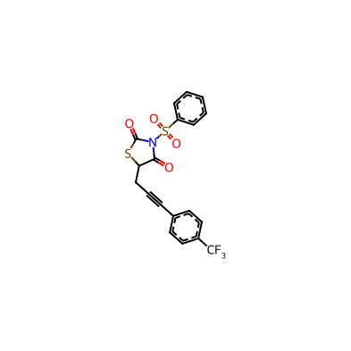 O=C1SC(CC#Cc2ccc(C(F)(F)F)cc2)C(=O)N1S(=O)(=O)c1ccccc1